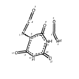 N=C=O.O=C=Nn1c(=O)[nH]c(=O)[nH]c1=O